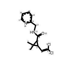 CC1(C)C(C=C(Cl)Cl)C1C(=O)NCc1ccccn1